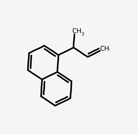 [CH]=CC(C)c1cccc2ccccc12